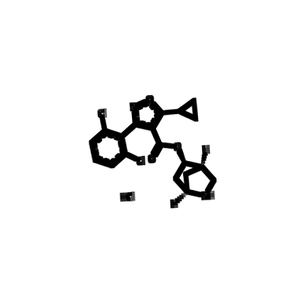 Cl.O=C(O[C@@H]1C[C@H]2C[C@@H]1CN2)c1c(-c2c(Cl)cccc2Cl)noc1C1CC1